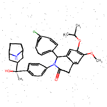 COc1cc2c(cc1OC(C)C)C(c1ccc(Cl)cc1)N(c1ccc([C@@](C)(O)C3CC4CCC(C3)N4)cc1)C(=O)C2